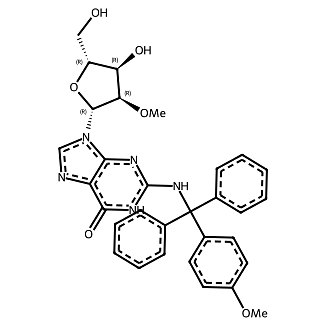 COc1ccc(C(Nc2nc3c(ncn3[C@@H]3O[C@H](CO)[C@@H](O)[C@H]3OC)c(=O)[nH]2)(c2ccccc2)c2ccccc2)cc1